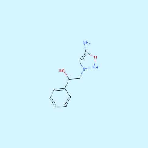 NC1=CN(CC(O)c2ccccc2)NO1